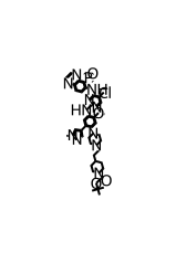 COc1cc(N2CCN(CCC3CCN(C(=O)OC(C)(C)C)CC3)CC2)c(-c2cnn(C)c2)cc1Nc1ncc(Cl)c(Nc2ccc3nccnc3c2P(C)(C)=O)n1